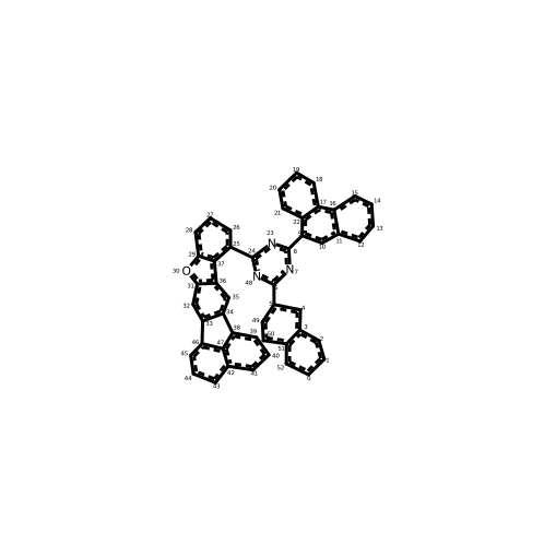 c1ccc2cc(-c3nc(-c4cc5ccccc5c5ccccc45)nc(-c4cccc5oc6cc7c(cc6c45)-c4cccc5cccc-7c45)n3)ccc2c1